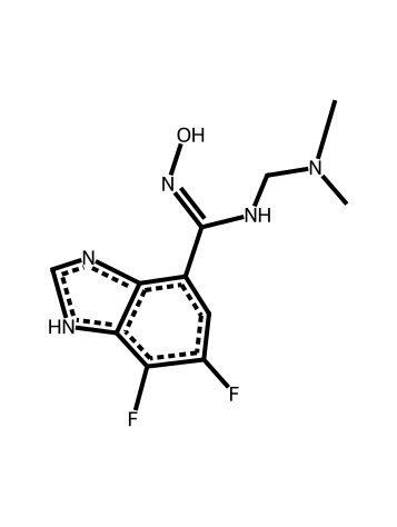 CN(C)CNC(=NO)c1cc(F)c(F)c2[nH]cnc12